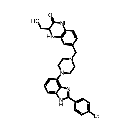 CCc1ccc(-c2nc3c(N4CCN(Cc5ccc6c(c5)NC(CO)C(=O)N6)CC4)cccc3[nH]2)cc1